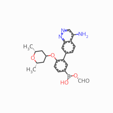 C[C@@H]1CC(Oc2ccc(B(O)OC=O)cc2-c2ccc3c(N)cnnc3c2)C[C@H](C)O1